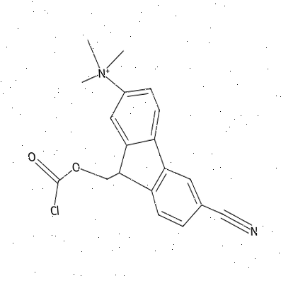 C[N+](C)(C)c1ccc2c(c1)C(COC(=O)Cl)c1ccc(C#N)cc1-2